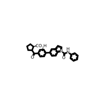 O=C(c1ccc(-c2ccc3c(ccn3C(=O)Nc3ccccc3)c2)cc1)C1CCC[C@H]1C(=O)O